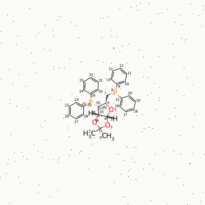 CC1(C)O[C@H]2O[C@H](CP(c3ccccc3)c3ccccc3)[C@@H](P(c3ccccc3)c3ccccc3)[C@H]2O1